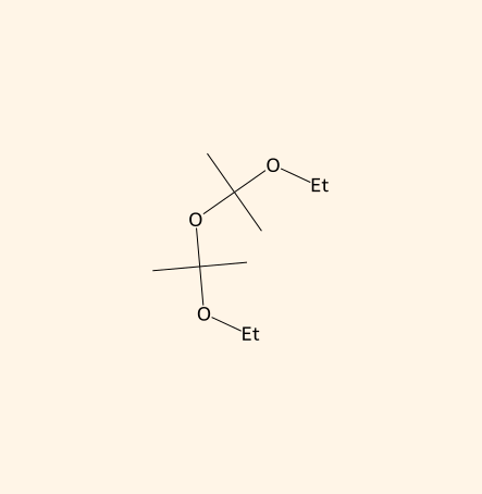 CCOC(C)(C)OC(C)(C)OCC